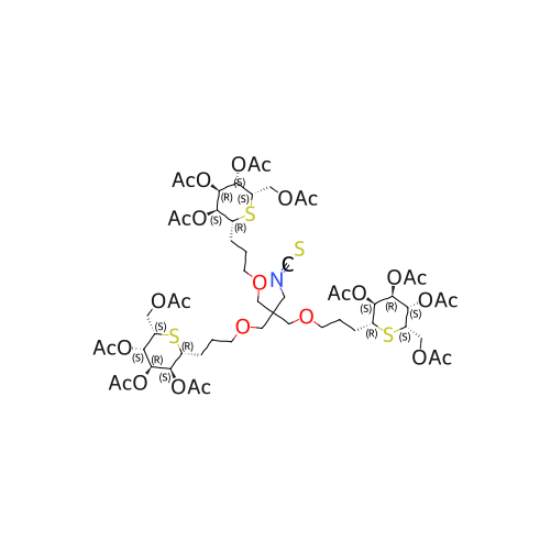 CC(=O)OC[C@@H]1S[C@H](CCCOCC(CN=C=S)(COCCC[C@H]2S[C@@H](COC(C)=O)[C@@H](OC(C)=O)[C@H](OC(C)=O)[C@@H]2OC(C)=O)COCCC[C@H]2S[C@@H](COC(C)=O)[C@@H](OC(C)=O)[C@H](OC(C)=O)[C@@H]2OC(C)=O)[C@@H](OC(C)=O)[C@@H](OC(C)=O)[C@@H]1OC(C)=O